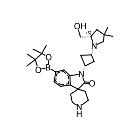 CC1(C)C[C@@H](CO)N([C@H]2C[C@@H](N3C(=O)C4(CCNCC4)c4ccc(B5OC(C)(C)C(C)(C)O5)cc43)C2)C1